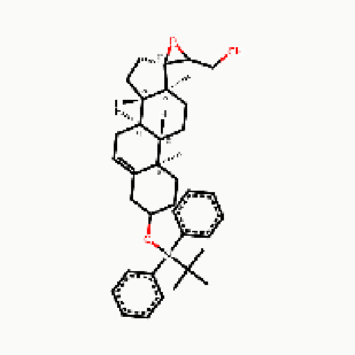 CC(C)(C)[Si](OC1CC[C@@]2(C)C(=CC[C@@H]3[C@@H]2CC[C@@]2(C)[C@H]3CC[C@@]23OC3CO)C1)(c1ccccc1)c1ccccc1